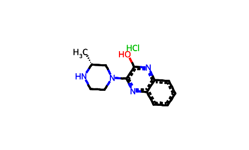 C[C@@H]1CN(c2nc3ccccc3nc2O)CCN1.Cl